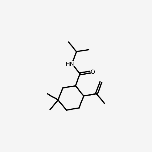 C=C(C)C1CCC(C)(C)CC1C(=O)NC(C)C